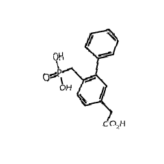 O=C(O)Cc1ccc(CP(=O)(O)O)c(-c2ccccc2)c1